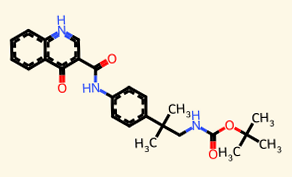 CC(C)(C)OC(=O)NCC(C)(C)c1ccc(NC(=O)c2c[nH]c3ccccc3c2=O)cc1